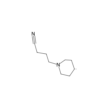 N#CCCCN1CC[CH]CC1